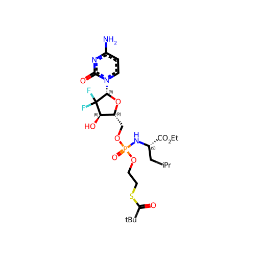 CCOC(=O)[C@H](CC(C)C)NP(=O)(OCCSC(=O)C(C)(C)C)OC[C@H]1O[C@@H](n2ccc(N)nc2=O)C(F)(F)[C@@H]1O